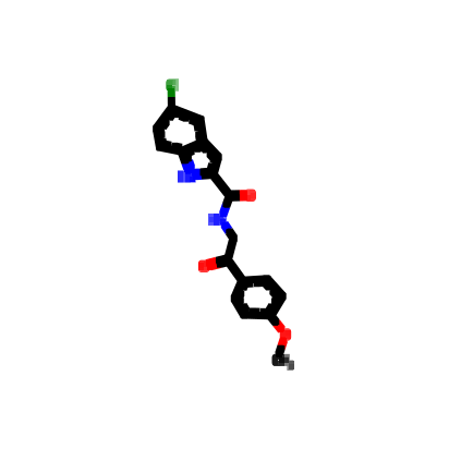 COc1ccc(C(=O)CNC(=O)c2cc3cc(Cl)ccc3[nH]2)cc1